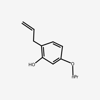 C=CCc1ccc(OCCC)cc1O